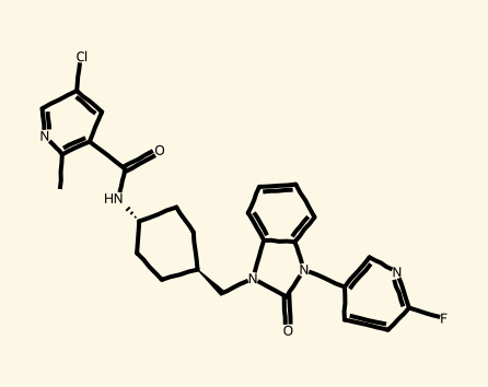 Cc1ncc(Cl)cc1C(=O)N[C@H]1CC[C@H](Cn2c(=O)n(-c3ccc(F)nc3)c3ccccc32)CC1